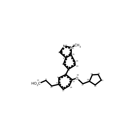 Cn1ncc2cc(-c3cc(CCC(=O)O)ccc3OCC3CCCC3)ccc21